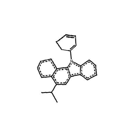 CC(C)c1cc2c3ccccc3n(C3=CC=CCC3)c2c2ccccc12